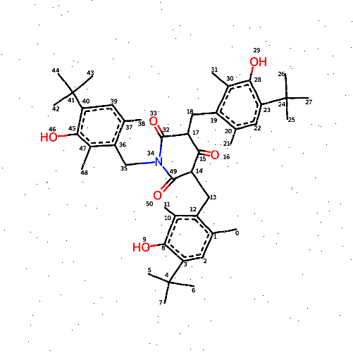 Cc1cc(C(C)(C)C)c(O)c(C)c1CC1C(=O)C(Cc2c(C)cc(C(C)(C)C)c(O)c2C)C(=O)N(Cc2c(C)cc(C(C)(C)C)c(O)c2C)C1=O